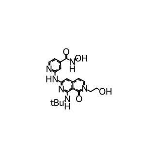 CC(C)(C)Nc1nc(Nc2cc(C(=O)NO)ccn2)cc2ccn(CCO)c(=O)c12